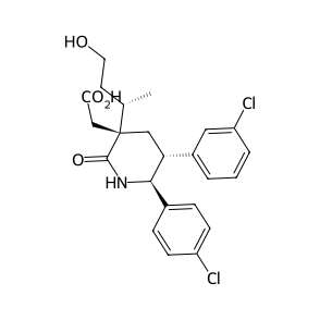 C[C@@H](CCO)[C@]1(CC(=O)O)C[C@H](c2cccc(Cl)c2)[C@@H](c2ccc(Cl)cc2)NC1=O